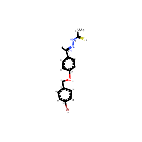 CSC(=S)N/N=C(\C)c1ccc(OCc2ccc(Br)cc2)cc1